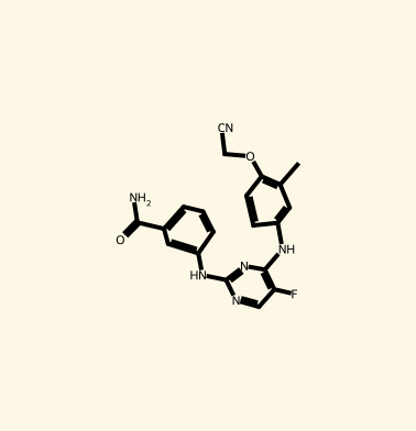 Cc1cc(Nc2nc(Nc3cccc(C(N)=O)c3)ncc2F)ccc1OCC#N